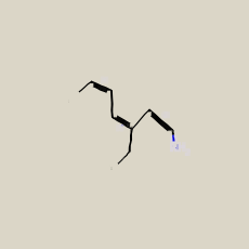 C\C=C/C=C(\C=C/N)CC(C)(C)C